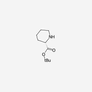 CC(C)(C)OC(=O)[C@@H]1CCCCN1